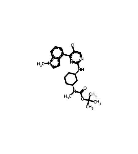 CN(C(=O)OC(C)(C)C)[C@H]1CCC[C@@H](Nc2ncc(Cl)c(-c3cccc4c3ccn4C)n2)C1